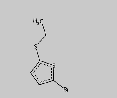 CCSc1ccc(Br)s1